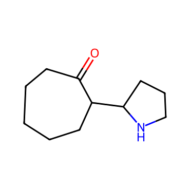 O=C1CCCCCC1C1CCCN1